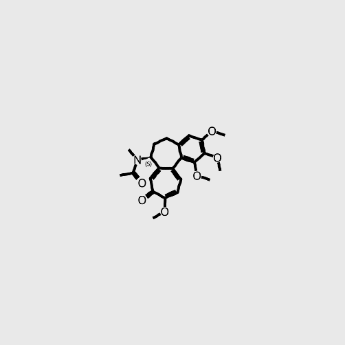 COc1cc2c(c(OC)c1OC)-c1ccc(OC)c(=O)cc1[C@@H](N(C)C(C)=O)CC2